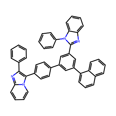 c1ccc(-c2nc3ccccn3c2-c2ccc(-c3cc(-c4cccc5ccccc45)cc(-c4nc5ccccc5n4-c4ccccc4)c3)cc2)cc1